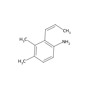 C/C=C\c1c(N)ccc(C)c1C